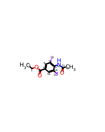 CCOC(=O)c1cc(I)c(NC(C)=O)c(I)c1